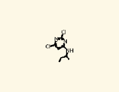 CCC(C)Nc1cc(Cl)nc(Cl)n1